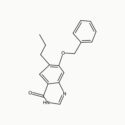 CCCc1cc2c(=O)[nH]cnc2cc1OCc1ccccc1